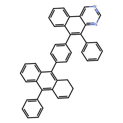 C1=Cc2c(c(-c3ccc(-c4c(-c5ccccc5)c5ncncc5c5ccccc45)cc3)c3ccccc3c2-c2ccccc2)CC1